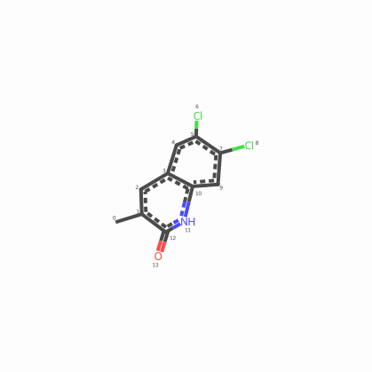 Cc1cc2cc(Cl)c(Cl)cc2[nH]c1=O